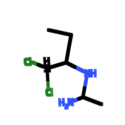 CCC(NC(C)N)[SiH](Cl)Cl